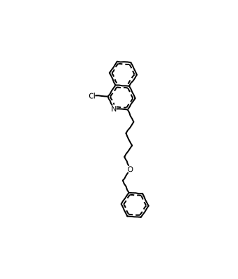 Clc1nc(CCCCOCc2ccccc2)cc2ccccc12